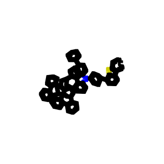 c1ccc(-c2ccc(N(c3ccc(-c4cccc5c4sc4ccccc45)cc3)c3cccc4c3-c3ccccc3C3CC56CC(c7ccccc7-c7ccccc75)C57CC(CC4(C3)C65)c3ccccc3-c3ccccc37)cc2)cc1